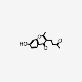 CC(=O)CCc1c(C)oc2cc(O)ccc2c1=O